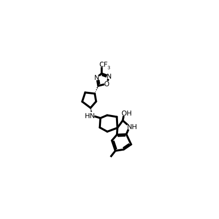 Cc1ccc2c(c1)C1(CCC(N[C@@H]3CC[C@H](c4nc(C(F)(F)F)no4)C3)CC1)C(O)N2